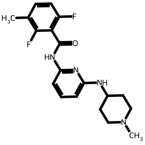 Cc1ccc(F)c(C(=O)Nc2cccc(NC3CCN(C)CC3)n2)c1F